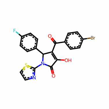 O=C(C1=C(O)C(=O)N(c2nccs2)C1c1ccc(F)cc1)c1ccc(Br)cc1